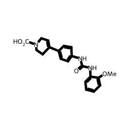 COc1ccccc1NC(=O)Nc1ccc(C2=CCN(C(=O)O)CC2)cc1